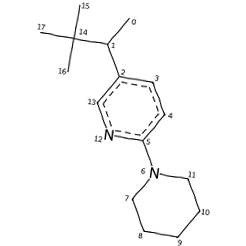 CC(c1ccc(N2CCCCC2)nc1)C(C)(C)C